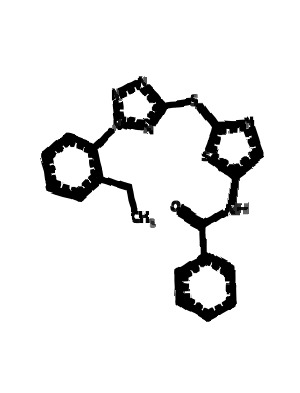 CCc1ccccc1-n1nnc(Sc2ncc(NC(=O)c3ccccc3)s2)n1